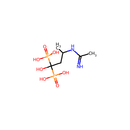 CC(=N)NC(C)CC(O)(P(=O)(O)O)P(=O)(O)O